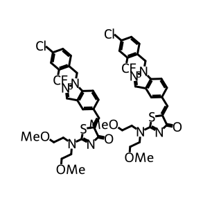 COCCN(CCOC)C1=NC(=O)C(=Cc2ccc3c(cnn3Cc3ccc(Cl)cc3C(F)(F)F)c2)S1.COCCN(CCOC)C1=NC(=O)C(=Cc2ccc3c(cnn3Cc3ccc(Cl)cc3C(F)(F)F)c2)S1